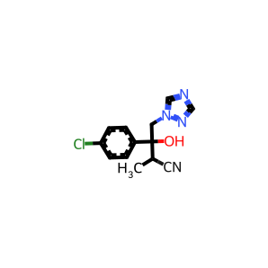 CC(C#N)C(O)(Cn1cncn1)c1ccc(Cl)cc1